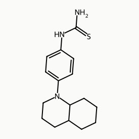 NC(=S)Nc1ccc(N2CCCC3CCCCC32)cc1